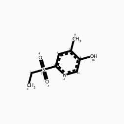 CCS(=O)(=O)c1cc(C)c(O)cn1